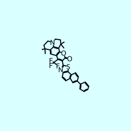 CC1(C)CCN2CCC(C)(C)c3c2c1cc1c(C(F)(F)F)c(-c2nc4ccc5cc(-c6ccccc6)ccc5c4s2)c(=O)oc31